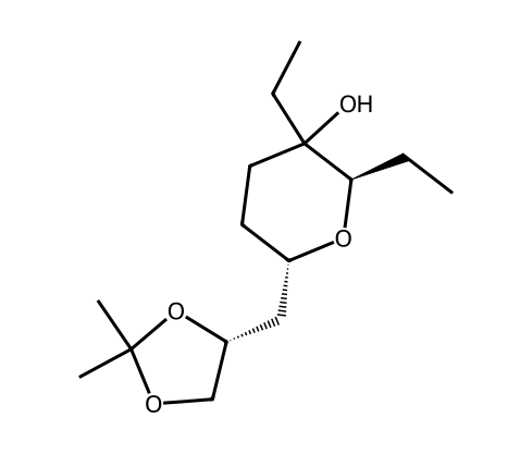 CC[C@H]1O[C@H](C[C@@H]2COC(C)(C)O2)CCC1(O)CC